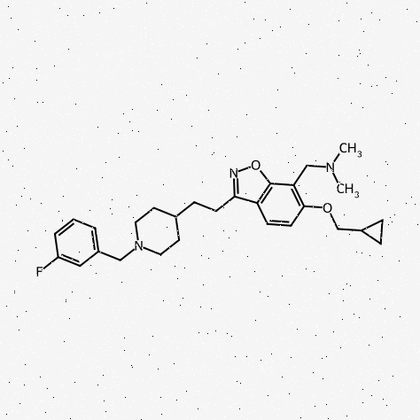 CN(C)Cc1c(OCC2CC2)ccc2c(CCC3CCN(Cc4cccc(F)c4)CC3)noc12